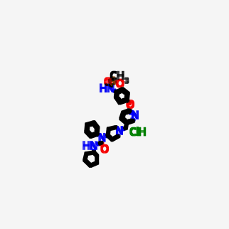 CS(=O)(=O)Nc1ccc(Oc2ccc(CN3CCC(N(C(=O)NC4CCCCC4)c4ccccc4)CC3)cn2)cc1.Cl